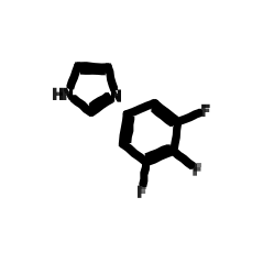 Fc1cccc(F)c1F.c1c[nH]cn1